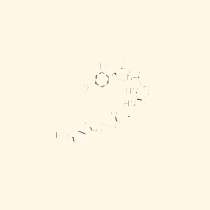 CC(C)C(NC(=O)NCC(C)(C)OC(=O)OCOC(=O)/C=C/C(=O)O)C(=O)N1CC[C@](O)(c2ccc(Cl)cc2)C(C)(C)C1